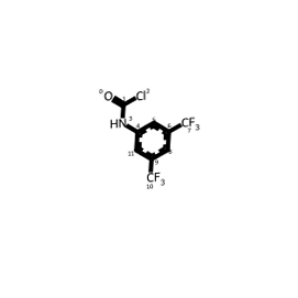 O=C(Cl)Nc1cc(C(F)(F)F)cc(C(F)(F)F)c1